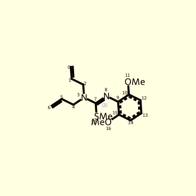 C=CCN(CC=C)/C(=N/c1c(OC)cccc1OC)SC